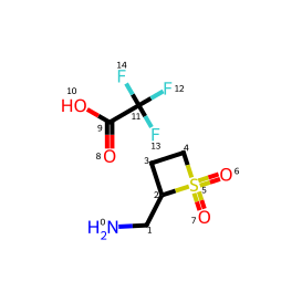 NCC1CCS1(=O)=O.O=C(O)C(F)(F)F